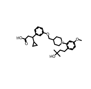 COc1ccc(CCC(C)(C)O)c(N2CCC(COc3cccc(C(CC(=O)O)C4CC4)c3)CC2)c1